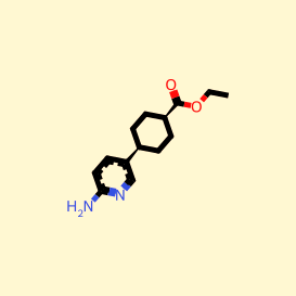 CCOC(=O)[C@H]1CC[C@@H](c2ccc(N)nc2)CC1